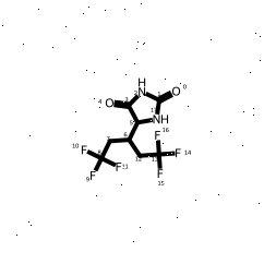 O=C1NC(=O)C(C(CC(F)(F)F)CC(F)(F)F)N1